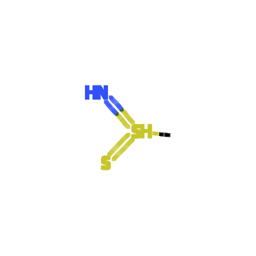 C[SH](=N)=S